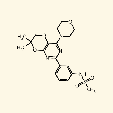 CC1(C)COc2c(nc(-c3cccc(NS(C)(=O)=O)c3)nc2N2CCOCC2)O1